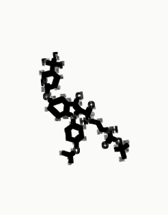 CC(C)Oc1ccc(-n2c(C(=O)NCCNC(=O)OC(C)(C)C)c(Cl)c3cc(Oc4ccc(C(F)(F)F)cn4)ccc32)cc1